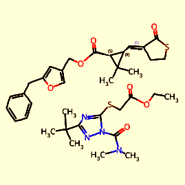 CC1(C)[C@H](/C=C2\CCSC2=O)[C@@H]1C(=O)OCc1coc(Cc2ccccc2)c1.CCOC(=O)CSc1nc(C(C)(C)C)nn1C(=O)N(C)C